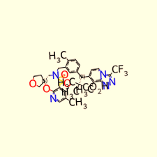 Cc1cnc2c(c1)S(=O)(=O)N(Cc1cc([C@H](c3ccn4c(C(F)(F)F)nnc4c3C)C(C)(C)C(=O)O)ccc1C)C[C@]1(CCOC1)O2